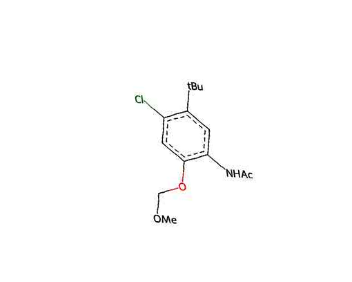 COCOc1cc(Cl)c(C(C)(C)C)cc1NC(C)=O